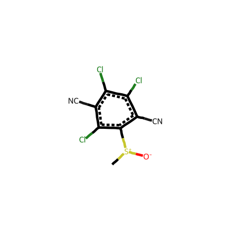 C[S+]([O-])c1c(Cl)c(C#N)c(Cl)c(Cl)c1C#N